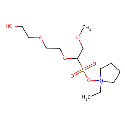 CC[N+]1(OS(=O)(=O)C(COC)OCCOCCO)CCCC1